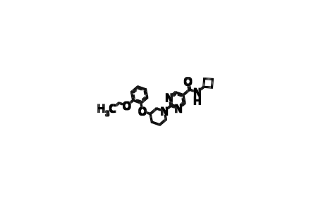 CCOc1ccccc1OC1CCCN(c2ncc(C(=O)NC3CCC3)cn2)C1